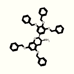 N[C@H]1Cc2c(OCc3ccccc3)cc(OCc3ccccc3)cc2O[C@H]1c1cc(OCc2ccccc2)c(OCc2ccccc2)c(OCc2ccccc2)c1